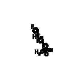 Cn1c(=O)[nH]c2ccc(-c3cnc(NCc4ccc(F)cc4)nc3)cc21